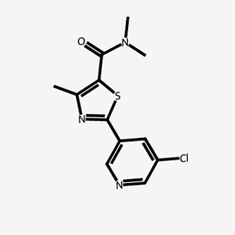 Cc1nc(-c2cncc(Cl)c2)sc1C(=O)N(C)C